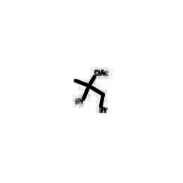 CC(=O)OC(C)(CC(C)C)C(C)C